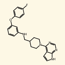 Fc1ccc(Oc2cccc(NCC3CCN(c4ncnc5[nH]ccc45)CC3)c2)cc1